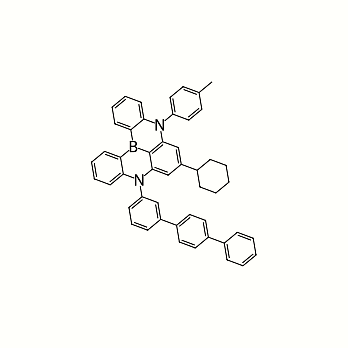 Cc1ccc(N2c3ccccc3B3c4ccccc4N(c4cccc(-c5ccc(-c6ccccc6)cc5)c4)c4cc(C5CCCCC5)cc2c43)cc1